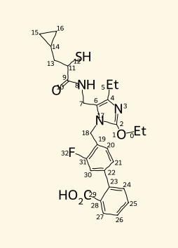 CCOc1nc(CC)c(CNC(=O)C(S)CC2CC2)n1Cc1ccc(-c2ccccc2C(=O)O)cc1F